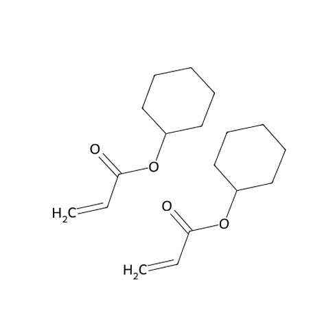 C=CC(=O)OC1CCCCC1.C=CC(=O)OC1CCCCC1